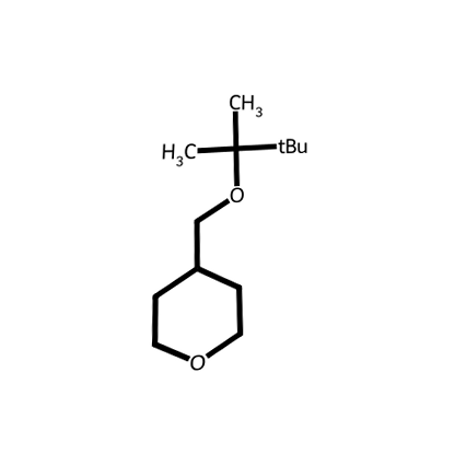 CC(C)(C)C(C)(C)OCC1CCOCC1